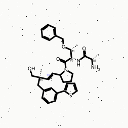 C[C@H](N)C(=O)N[C@H](C(=O)N1CCCC1/C=C/[C@](C)(CO)Cc1cccc(-c2cccs2)c1)[C@@H](C)OCc1ccccc1